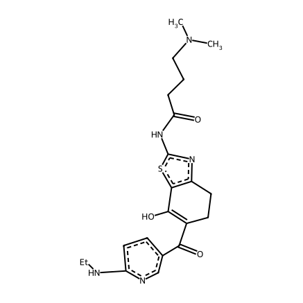 CCNc1ccc(C(=O)C2=C(O)c3sc(NC(=O)CCCN(C)C)nc3CC2)cn1